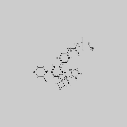 C[C@H]1COCCN1c1cc(C2(S(=O)(=O)c3nccs3)CCC2)nc(-c2ccc(NC(=O)NC(C)(C)CO)cc2)n1